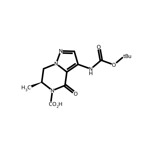 C[C@H]1Cn2ncc(NC(=O)OC(C)(C)C)c2C(=O)N1C(=O)O